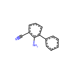 N#Cc1cccc(-c2ccccc2)c1N